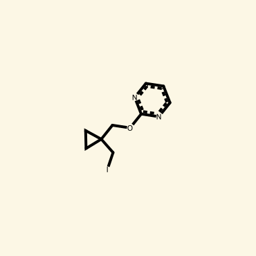 ICC1(COc2ncccn2)CC1